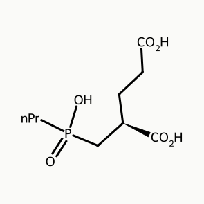 CCCP(=O)(O)C[C@@H](CCC(=O)O)C(=O)O